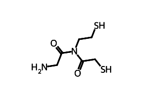 NCC(=O)N(CCS)C(=O)CS